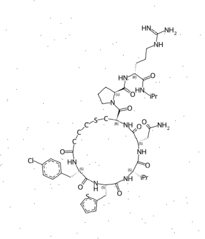 CC(C)NC(=O)[C@@H](CCCNC(=N)N)NC(=O)[C@@H]1CCCN1C(=O)[C@@H]1CSCCCC(=O)N[C@@H](Cc2ccc(Cl)cc2)C(=O)N[C@@H](Cc2cccs2)C(=O)N[C@@H](C(C)C)C(=O)N[C@@H](CC(N)=O)C(=O)N1